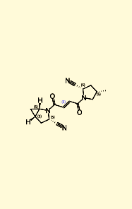 C[C@H]1C[C@@H](C#N)N(C(=O)/C=C/C(=O)N2[C@H](C#N)C[C@@H]3C[C@@H]32)C1